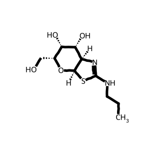 CCCNC1=N[C@@H]2[C@@H](O)[C@@H](O)[C@@H](CO)O[C@@H]2S1